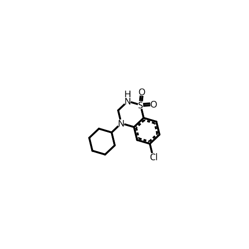 O=S1(=O)NCN(C2CCCCC2)c2cc(Cl)ccc21